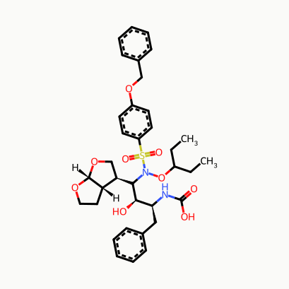 CCC(CC)ON(C([C@H](O)[C@H](Cc1ccccc1)NC(=O)O)[C@@H]1CO[C@H]2OCC[C@H]21)S(=O)(=O)c1ccc(OCc2ccccc2)cc1